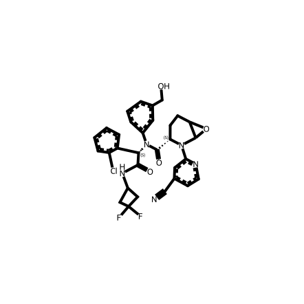 N#Cc1ccnc(N2C3OC3CC[C@H]2C(=O)N(c2cccc(CO)c2)[C@H](C(=O)NC2CC(F)(F)C2)c2ccccc2Cl)c1